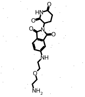 NCCOCCNc1ccc2c(c1)C(=O)N(C1CCC(=O)NC1=O)C2=O